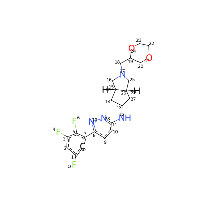 Fc1cc(F)c(F)c(-c2ccc(NC3C[C@@H]4CN(CC5COCCO5)C[C@@H]4C3)nn2)c1